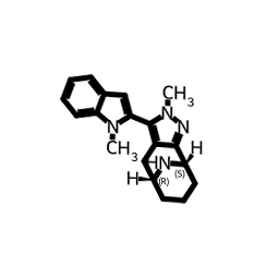 Cn1nc2c(c1-c1cc3ccccc3n1C)C[C@H]1CCC[C@@H]2N1